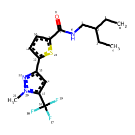 CCC(CC)CNC(=O)c1ccc(-c2cc(C(F)(F)F)n(C)n2)s1